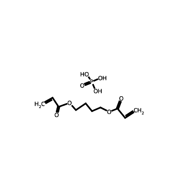 C=CC(=O)OCCCCOC(=O)C=C.O=P(O)(O)O